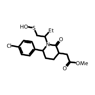 CCC(CSO)N1C(=O)C(CC(=O)OC)CCC1c1ccc(Cl)cc1